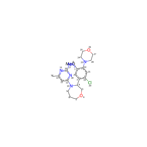 COc1cc(C2COCCCN2c2cc(C)nc(N)n2)c(Cl)cc1N1CCOCC1